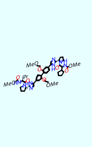 COCCOc1cc(-c2cnc([C@@H]3CCCN3C(=O)[C@@H](NC(=O)OC)C(C)C)[nH]2)ccc1-c1ccc(-c2cnc([C@@H]3CCCN3C(=O)[C@@H](NC(=O)OC)C3CCCC3)[nH]2)cc1OCCOC